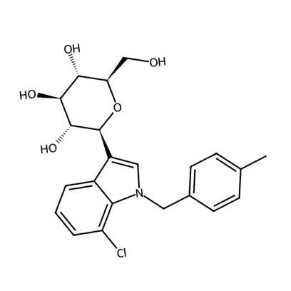 Cc1ccc(Cn2cc([C@@H]3O[C@H](CO)[C@@H](O)[C@H](O)[C@H]3O)c3cccc(Cl)c32)cc1